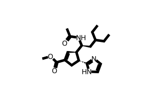 CCC(CC)C[C@H](NC(C)=O)[C@@H]1C=C(C(=O)OC)C[C@H]1c1ncc[nH]1